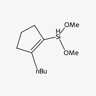 CCCCC1=C([SiH](OC)OC)CCC1